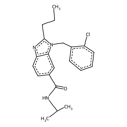 CCCc1nc2ccc(C(=O)NC(C)C)cc2n1Cc1ccccc1Cl